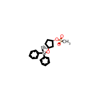 CC(C)(C)[Si](O[C@H]1CC[C@H](OS(C)(=O)=O)C1)(c1ccccc1)c1ccccc1